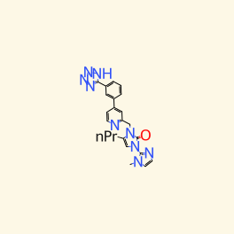 CCCc1cn(-c2nccn2C)c(=O)n1Cc1cc(-c2cccc(-c3nnn[nH]3)c2)ccn1